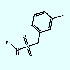 CCNS(=O)(=O)Cc1cccc(F)c1